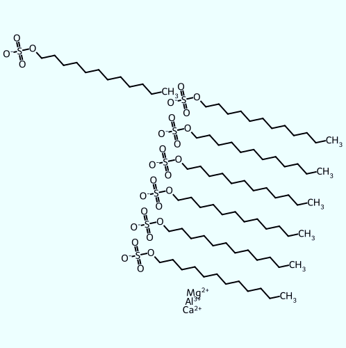 CCCCCCCCCCCCOS(=O)(=O)[O-].CCCCCCCCCCCCOS(=O)(=O)[O-].CCCCCCCCCCCCOS(=O)(=O)[O-].CCCCCCCCCCCCOS(=O)(=O)[O-].CCCCCCCCCCCCOS(=O)(=O)[O-].CCCCCCCCCCCCOS(=O)(=O)[O-].CCCCCCCCCCCCOS(=O)(=O)[O-].[Al+3].[Ca+2].[Mg+2]